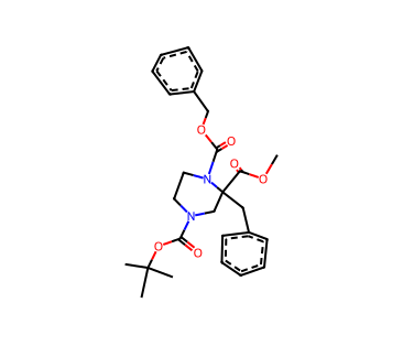 COC(=O)C1(Cc2ccccc2)CN(C(=O)OC(C)(C)C)CCN1C(=O)OCc1ccccc1